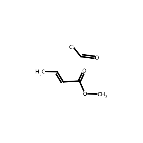 C/C=C/C(=O)OC.O=CCl